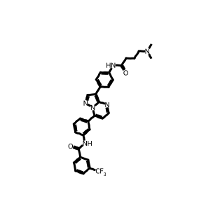 CN(C)CCCC(=O)Nc1ccc(-c2cnn3c(-c4cccc(NC(=O)c5cccc(C(F)(F)F)c5)c4)ccnc23)cc1